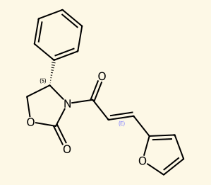 O=C(/C=C/c1ccco1)N1C(=O)OC[C@@H]1c1ccccc1